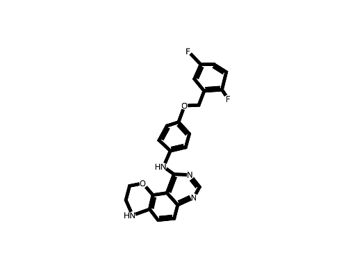 Fc1ccc(F)c(COc2ccc(Nc3ncnc4ccc5c(c34)OCCN5)cc2)c1